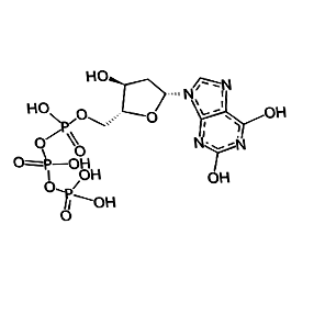 O=P(O)(O)OP(=O)(O)OP(=O)(O)OC[C@H]1O[C@@H](n2cnc3c(O)nc(O)nc32)C[C@@H]1O